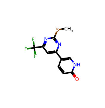 CSc1nc(-c2ccc(=O)[nH]c2)cc(C(F)(F)F)n1